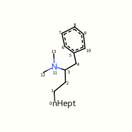 CCCCCCCCCC(Cc1ccccc1)N(C)C